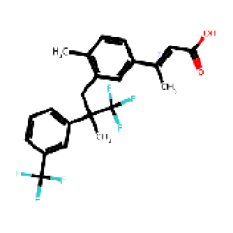 C/C(=C\C(=O)O)c1ccc(C)c(CC(C)(c2cccc(C(F)(F)F)c2)C(F)(F)F)c1